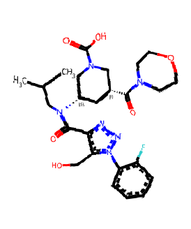 CC(C)CN(C(=O)c1nnn(-c2ccccc2F)c1CO)[C@H]1C[C@@H](C(=O)N2CCOCC2)CN(C(=O)O)C1